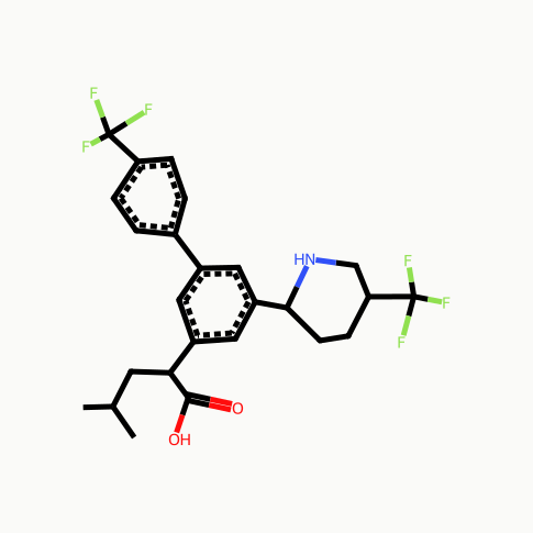 CC(C)CC(C(=O)O)c1cc(-c2ccc(C(F)(F)F)cc2)cc(C2CCC(C(F)(F)F)CN2)c1